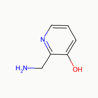 NCc1ncccc1O